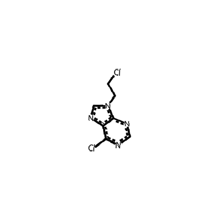 ClCCn1cnc2c(Cl)ncnc21